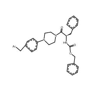 CC(=O)Cc1ccc(N2CCN(C(=O)[C@@H](Cc3ccccc3)NC(=O)OCc3ccccc3)CC2)cc1